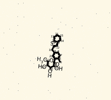 CC1OC2(OCc3ccc(Cc4cc5ccccc5s4)cc32)C(O)C(O)C1O